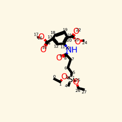 CCO[Si](C)(CCCC(=O)Nc1cc(C(=O)OC)ccc1C(=O)OC)OCC